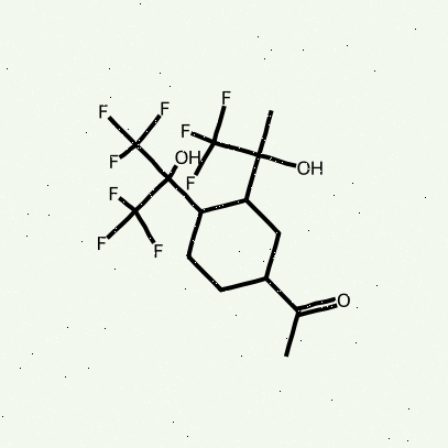 CC(=O)C1CCC(C(O)(C(F)(F)F)C(F)(F)F)C(C(C)(O)C(F)(F)F)C1